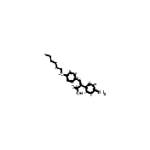 CCCCCCOc1ccc(C=C(C(=O)O)c2ccc(N)cc2)cc1